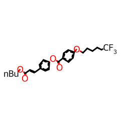 [CH2]CCCOC(=O)/C=C/c1ccc(OC(=O)c2ccc(OCCCCCC(F)(F)F)cc2)cc1